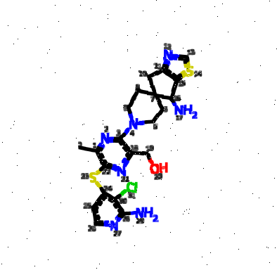 Cc1nc(N2CCC3(CC2)Cc2ncsc2C3N)c(CO)nc1Sc1ccnc(N)c1Cl